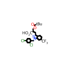 CC(C)(C)C(=O)OC/C(=C/c1nn(Cc2ccc(Cl)cc2Cl)c2cc(C(F)(F)F)ccc12)C(=O)O